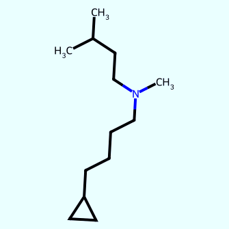 CC(C)CCN(C)CCCCC1CC1